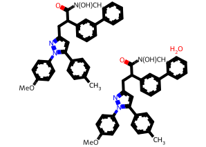 COc1ccc(-n2nc(CC(C(=O)N(C)O)c3cccc(-c4ccccc4)c3)cc2-c2ccc(C)cc2)cc1.COc1ccc(-n2nc(CC(C(=O)N(C)O)c3cccc(-c4ccccc4)c3)cc2-c2ccc(C)cc2)cc1.O